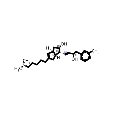 Cc1cccc(C[C@@H](O)/C=C/[C@@H]2[C@H]3CC(CCCCCN(C)C)=C[C@H]3C[C@H]2O)c1